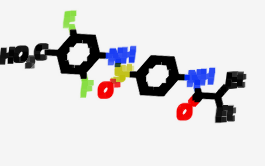 CCC(CC)C(=O)Nc1ccc([S+]([O-])Nc2cc(F)c(C(=O)O)cc2F)cc1